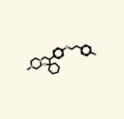 CN1CCN(CC(c2ccc(OCCc3ccc(F)cc3)cc2)C2(O)CCCCC2)CC1